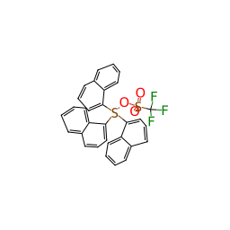 O=S(=O)(OS(c1cccc2ccccc12)(c1cccc2ccccc12)c1cccc2ccccc12)C(F)(F)F